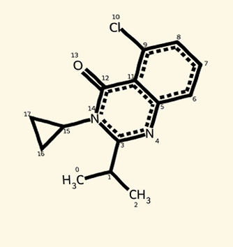 CC(C)c1nc2cccc(Cl)c2c(=O)n1C1CC1